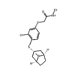 CCNC(=O)COc1ccc(S[C@@H]2C[C@H]3CC[C@@H](C2)N3C)c(Cl)c1